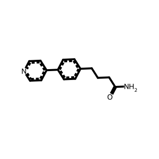 NC(=O)CCCc1ccc(-c2ccncc2)cc1